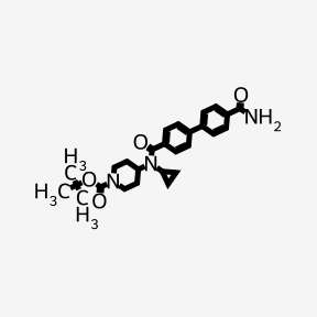 CC(C)(C)OC(=O)N1CCC(N(C(=O)c2ccc(-c3ccc(C(N)=O)cc3)cc2)C2CC2)CC1